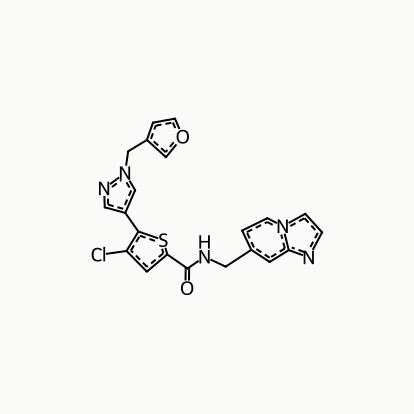 O=C(NCc1ccn2ccnc2c1)c1cc(Cl)c(-c2cnn(Cc3ccoc3)c2)s1